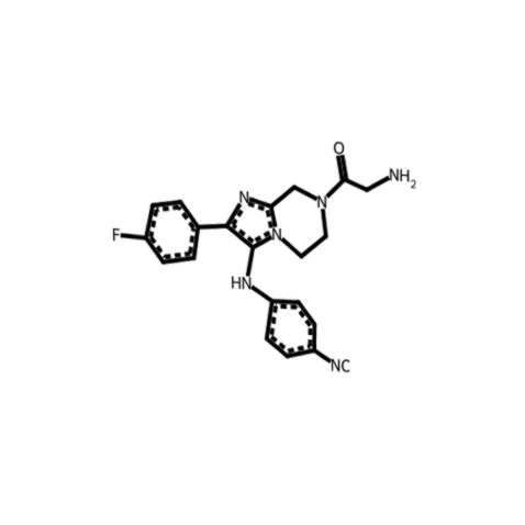 [C-]#[N+]c1ccc(Nc2c(-c3ccc(F)cc3)nc3n2CCN(C(=O)CN)C3)cc1